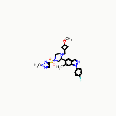 COC1CC(CN2CCN(S(=O)(=O)c3cnn(C)n3)CC2c2cc3cnn(-c4ccc(F)cc4)c3cc2C)C1